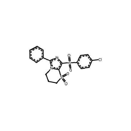 O=S1(=O)CCCn2c(-c3ccccc3)nc(S(=O)(=O)c3ccc(Cl)cc3)c21